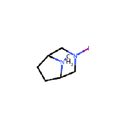 CN1C2CCC1CN(I)C2